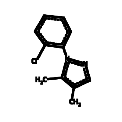 Cc1cnn(-c2ccccc2Cl)c1C